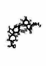 CC(=O)N1CCC2(CCc3cc(-c4cccc5c(N)nccc45)ccc32)CC1